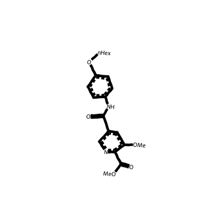 CCCCCCOc1ccc(NC(=O)c2cnc(C(=O)OC)c(OC)c2)cc1